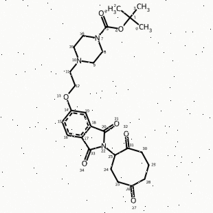 CC(C)(C)OC(=O)N1CCN(CCOc2ccc3c(c2)C(=O)N(C2CCC(=O)CCCC2=O)C3=O)CC1